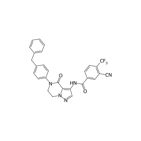 N#Cc1cc(C(=O)Nc2cnn3c2C(=O)N(c2ccc(Cc4ccccc4)cc2)CC3)ccc1C(F)(F)F